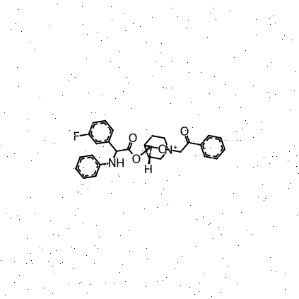 O=C(C[N+]12CCC(CC1)[C@@H](OC(=O)C(Nc1ccccc1)c1cccc(F)c1)C2)c1ccccc1